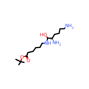 CC(C)(C)OC(=O)CCCCCNC(O)[C@@H](N)CCCCN